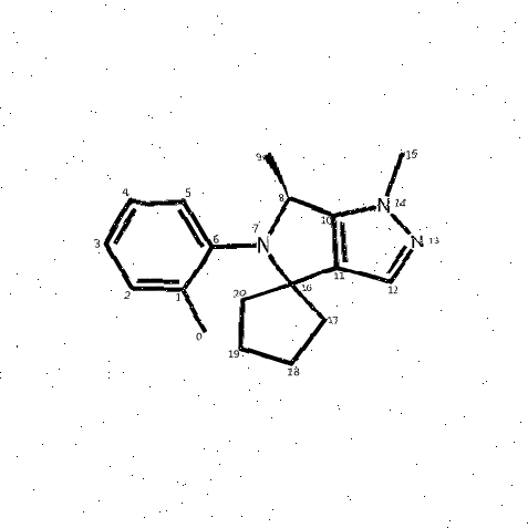 Cc1ccccc1N1[C@@H](C)c2c(cnn2C)C12CCCC2